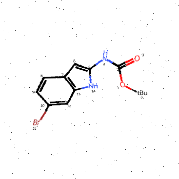 CC(C)(C)OC(=O)Nc1cc2ccc(Br)cc2[nH]1